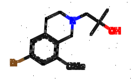 COc1cc(Br)cc2c1CN(CC(C)(C)O)CC2